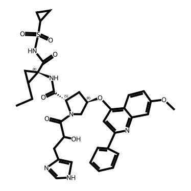 CCC1C[C@]1(NC(=O)[C@@H]1C[C@@H](Oc2cc(-c3ccccc3)nc3cc(OC)ccc23)CN1C(=O)C(O)Cc1c[nH]cn1)C(=O)NS(=O)(=O)C1CC1